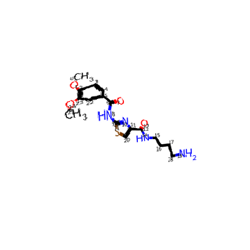 COc1ccc(C(=O)Nc2nc(C(=O)NCCCCN)cs2)cc1OC